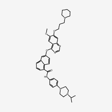 COc1cc2c(Oc3ccc4c(C(=O)Nc5ccc(N6CCN(C(C)C)CC6)cc5)cccc4c3)ncnc2cc1OCCCN1CCCCC1